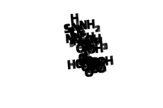 C[C@]1(O)[C@H](n2cnc3c(=S)[nH]c(N)nc32)O[C@H](COP(=O)(O)OP(=O)(O)OP(=O)(O)O)[C@@]1(C)O